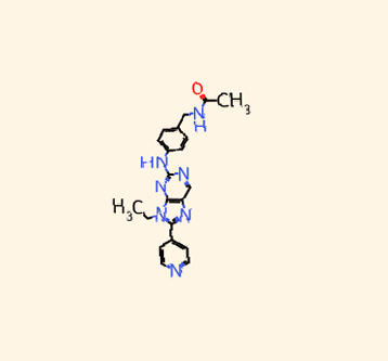 CCn1c(-c2ccncc2)nc2cnc(Nc3ccc(CNC(C)=O)cc3)nc21